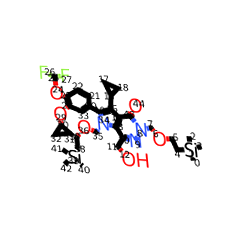 C[Si](C)(C)CCOCn1nc(CO)c2c(c(C3CC3)c(-c3ccc(OC(F)F)c(OC4CC4)c3)n2COCC[Si](C)(C)C)c1=O